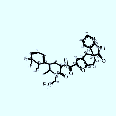 CC1C(C2=CC=CC(F)(F)C2F)CC(NC(=O)c2cc3c(o2)CC[C@]2(C3)C(=O)Nc3ncccc32)C(=O)N1CC(F)(F)F